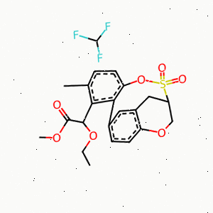 CCOC(C(=O)OC)c1c(C)ccc2c1-c1ccc3c(c1)CC(CO3)S(=O)(=O)O2.FC(F)F